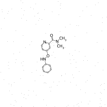 CN(C)C(=O)c1cc(ONc2ccccc2)ccn1